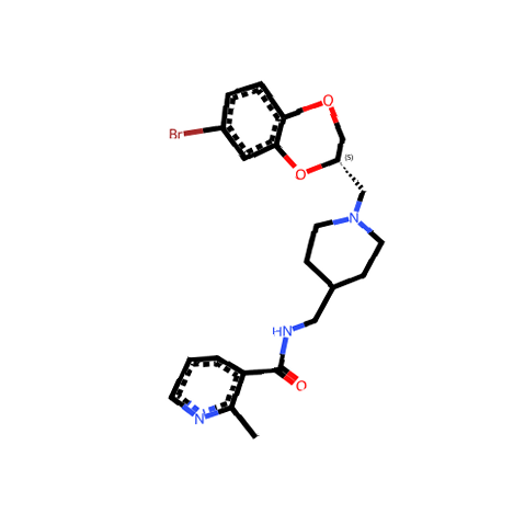 Cc1ncccc1C(=O)NCC1CCN(C[C@H]2COc3ccc(Br)cc3O2)CC1